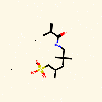 C=C(C)C(=O)NCC(C)(C)CC(C)CS(=O)(=O)O